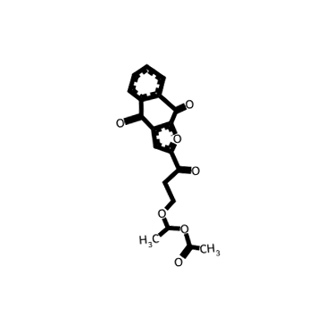 CC(=O)OC(C)OCCC(=O)c1cc2c(o1)C(=O)c1ccccc1C2=O